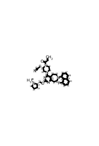 C=CC(=O)N1CCN(c2nc(OC[C@@H]3CCCN3C)nc3c2CCN(c2cccc4cccc(F)c24)CC3)C[C@@H]1CC#N